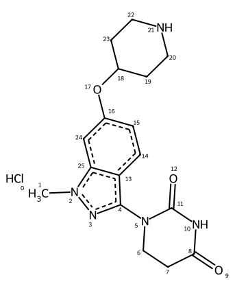 Cl.Cn1nc(N2CCC(=O)NC2=O)c2ccc(OC3CCNCC3)cc21